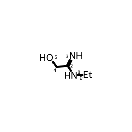 CCNC(=N)CO